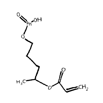 C=CC(=O)OC(C)CCCO[PH](=O)O